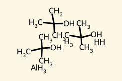 CC(C)(C)O.CC(C)(C)O.CC(C)(C)O.[AlH3].[HH]